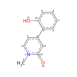 Cn1ccc(-c2ccccc2O)cc1=O